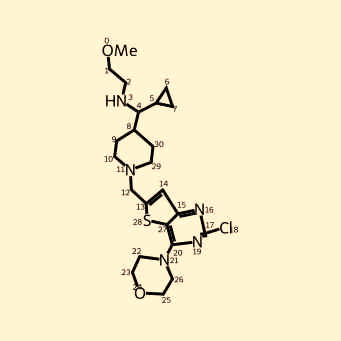 COCCNC(C1CC1)C1CCN(Cc2cc3nc(Cl)nc(N4CCOCC4)c3s2)CC1